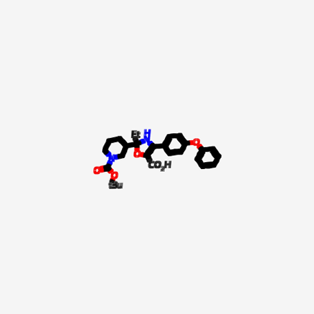 CCC1(C2CCCN(C(=O)OC(C)(C)C)C2)NC(c2ccc(Oc3ccccc3)cc2)=C(C(=O)O)O1